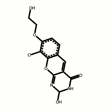 O=C1NC(O)N=C2Oc3c(ccc(OCCO)c3Cl)C=C12